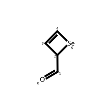 O=CC1C=C[Se]1